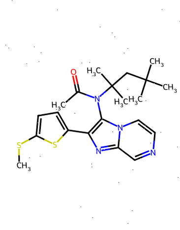 CSc1ccc(-c2nc3cnccn3c2N(C(C)=O)C(C)(C)CC(C)(C)C)s1